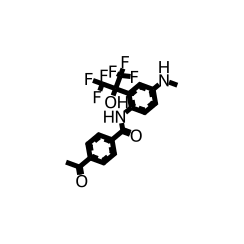 CNc1ccc(NC(=O)c2ccc(C(C)=O)cc2)c(C(O)(C(F)(F)F)C(F)(F)F)c1